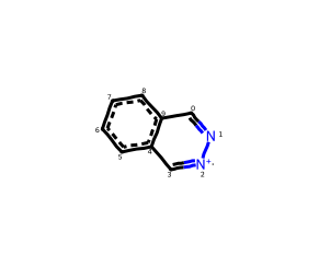 C1=N[N+]=Cc2ccccc21